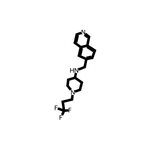 FC(F)(F)CCN1CCC(NCc2ccc3cnccc3c2)CC1